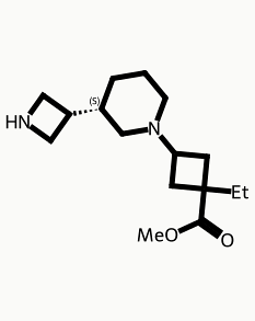 CCC1(C(=O)OC)CC(N2CCC[C@@H](C3CNC3)C2)C1